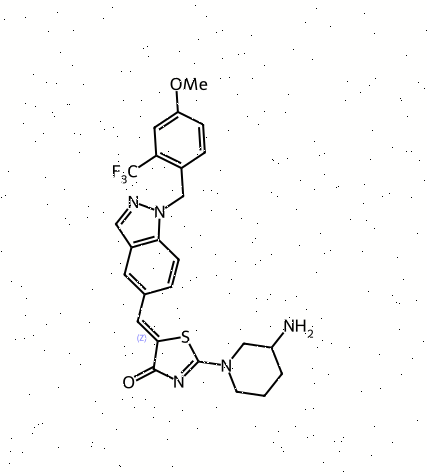 COc1ccc(Cn2ncc3cc(/C=C4\SC(N5CCCC(N)C5)=NC4=O)ccc32)c(C(F)(F)F)c1